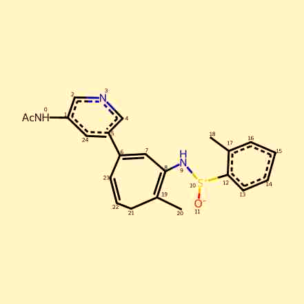 CC(=O)Nc1cncc(C2=CC(N[S+]([O-])c3ccccc3C)=C(C)CC=C2)c1